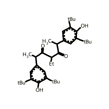 CCC(C(=O)C(C)c1cc(C(C)(C)C)c(O)c(C(C)(C)C)c1)C(=O)C(C)c1cc(C(C)(C)C)c(O)c(C(C)(C)C)c1